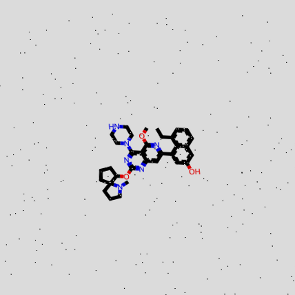 CCc1cccc2cc(O)cc(-c3cc4nc(OC5CCCC56CCCN6C)nc(N5CCNCC5)c4c(OC)n3)c12